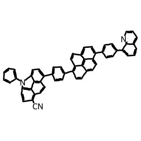 N#Cc1ccc2c3c1ccc1c(-c4ccc(-c5ccc6ccc7c(-c8ccc(-c9cccc%10cccnc9%10)cc8)ccc8ccc5c6c87)cc4)ccc(c13)n2-c1ccccc1